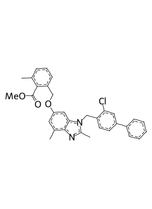 COC(=O)c1c(C)cccc1COc1cc(C)c2nc(C)n(Cc3ccc(-c4ccccc4)cc3Cl)c2c1